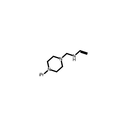 C=CNCN1CCN(C(C)C)CC1